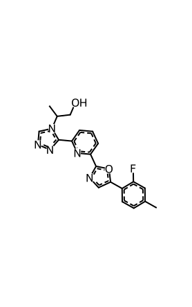 Cc1ccc(-c2cnc(-c3cccc(-c4nncn4C(C)CO)n3)o2)c(F)c1